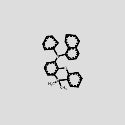 C[Si]1(C)c2ccccc2Oc2c(N(c3ccccc3)c3cccc4ccccc34)cccc21